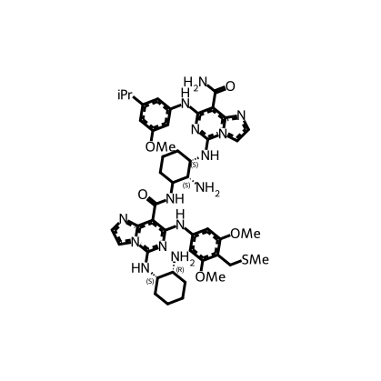 COc1cc(Nc2nc(N[C@H]3CCCC(NC(=O)c4c(Nc5cc(OC)c(CSC)c(OC)c5)nc(N[C@H]5CCCC[C@H]5N)n5ccnc45)[C@H]3N)n3ccnc3c2C(N)=O)cc(C(C)C)c1